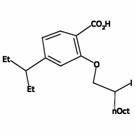 CCCCCCCCC(I)COc1cc(C(CC)CC)ccc1C(=O)O